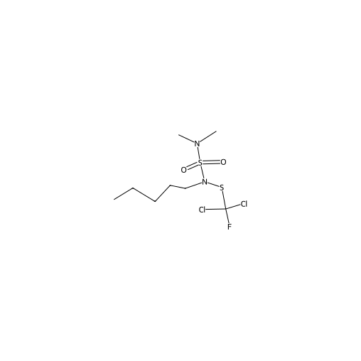 CCCCCN(SC(F)(Cl)Cl)S(=O)(=O)N(C)C